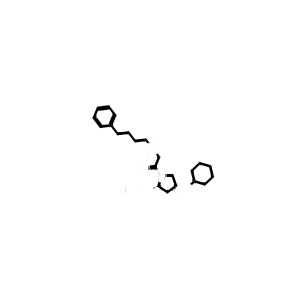 O=C(O)[C@@H]1C[C@@H](SC2CCCCC2)CN1C(=O)CP(=O)(O)CCCCc1ccccc1